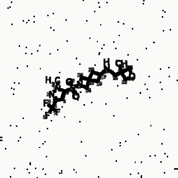 Cn1nc(C(F)(F)F)cc1S(=O)(=O)N1CC2(CC(NCC3(C)COC3)C2)C1